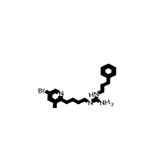 Cc1cc(Br)cnc1CCCCN=C(N)NCCCc1ccccc1